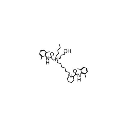 CCCCC[N+](CCCO)(CCCCCCN1CCCCC1C(=O)Nc1c(C)cccc1C)CC(=O)Nc1c(C)cccc1C